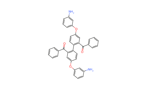 Nc1cccc(Oc2ccc(-c3ccc(Oc4cccc(N)c4)cc3C(=O)c3ccccc3)c(C(=O)c3ccccc3)c2)c1